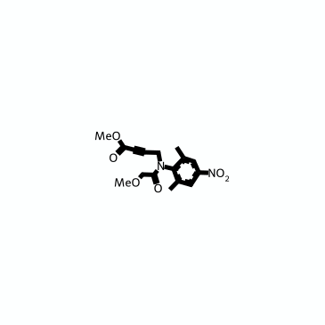 COCC(=O)N(CC#CC(=O)OC)c1c(C)cc([N+](=O)[O-])cc1C